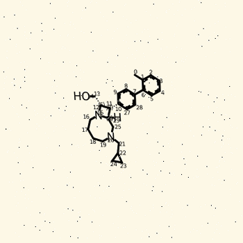 Cc1ccccc1-c1ccc([C@H]2[C@@H](CO)N3CCCCN(CC4CC4)C[C@@H]23)cc1